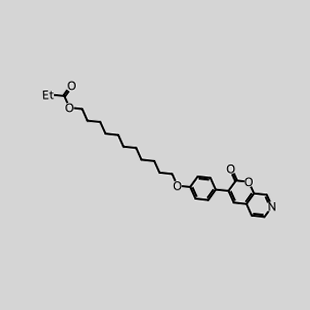 CCC(=O)OCCCCCCCCCCCOc1ccc(-c2cc3ccncc3oc2=O)cc1